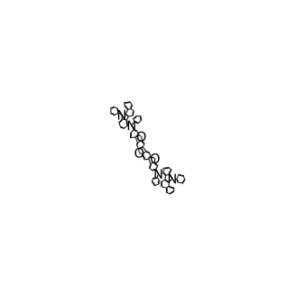 c1ccc(N(c2ccc3c(c2)oc2cc4c(cc23)oc2cc3c(cc24)oc2cc(N(c4ccccc4)c4cccc5c4c4ccc6ccccc6c4n5-c4ccccc4)ccc23)c2cccc3c2c2ccc4ccccc4c2n3-c2ccccc2)cc1